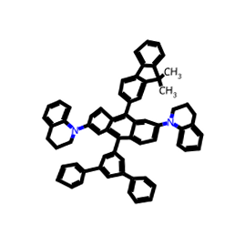 CC1(C)c2ccccc2-c2ccc(-c3c4ccc(N5CCCc6ccccc65)cc4c(-c4cc(-c5ccccc5)cc(-c5ccccc5)c4)c4ccc(N5CCCc6ccccc65)cc34)cc21